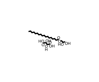 CCCCCCCCCCCCCCCCCC(=O)OCC(O)CO.O=C(O)C(O)C(O)C(=O)O